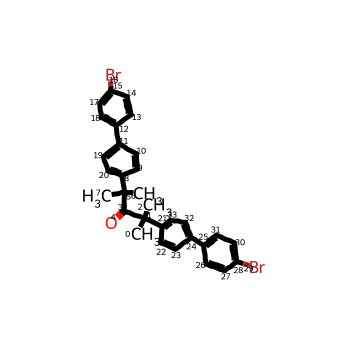 CC(C)(C(=O)C(C)(C)c1ccc(-c2ccc(Br)cc2)cc1)c1ccc(-c2ccc(Br)cc2)cc1